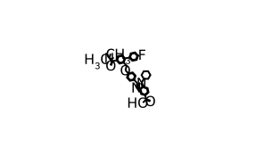 CN(C)C(=O)c1ccc(-c2ccc(F)cc2)c(COc2ccc(-c3nc4cc(C(=O)O)ccc4n3C3CCCCC3)cc2)c1